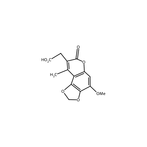 COc1cc2oc(=O)c(CC(=O)O)c(C)c2c2c1OCO2